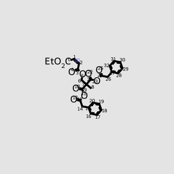 CCOC(=O)/C=C\C(=O)OCC(C)(C(=O)OC(=O)Cc1ccccc1)C(=O)OC(=O)Cc1ccccc1